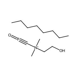 CCCCCCCC.C[N+](C)(C#P=O)CCO